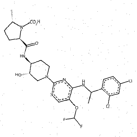 CC(Nc1nc(N2CC[C@H](NC(=O)[C@H]3CC[C@H](C)N3C(=O)O)[C@@H](O)C2)ncc1OC(F)F)c1ccc(Cl)cc1Cl